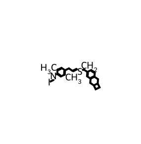 C=C(S/C=C/Cc1cc(C)c(/N=C/I)cc1C)c1ccc2c(c1)CC1CCC1C2